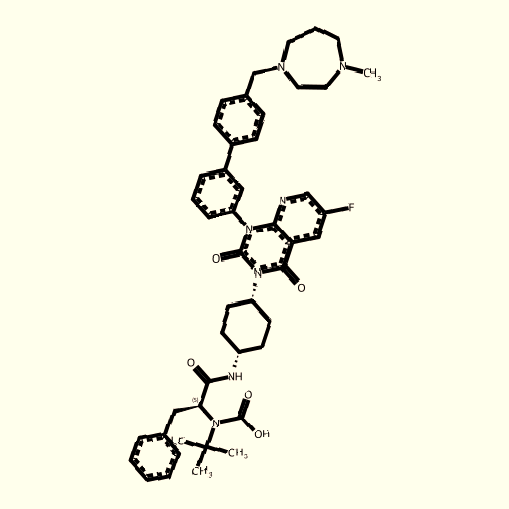 CN1CCCN(Cc2ccc(-c3cccc(-n4c(=O)n([C@H]5CC[C@@H](NC(=O)[C@H](Cc6ccccc6)N(C(=O)O)C(C)(C)C)CC5)c(=O)c5cc(F)cnc54)c3)cc2)CC1